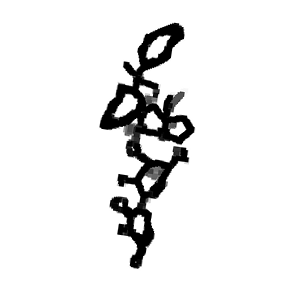 CC[C@H]1O[C@@H](n2ccc(=O)[nH]c2=O)C(F)[C@H]1O[P@]1O[C@H](C[Si](C)(c2ccccc2)c2ccccc2)[C@@H]2CCCN21